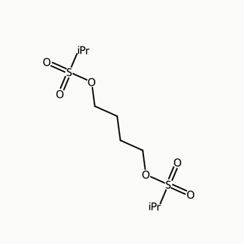 CC(C)S(=O)(=O)OCCCCOS(=O)(=O)C(C)C